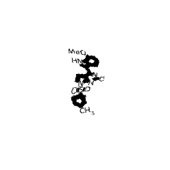 COc1cccc2c(-c3nc(Cl)nc4c3ccn4S(=O)(=O)c3ccc(C)cc3)c[nH]c12